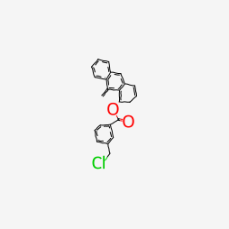 C=c1c2c(cc3ccccc13)C=CCC=2OC(=O)c1cccc(CCl)c1